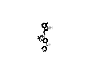 Cc1cccc2c(CCN3CC(C)(C)Oc4cc(Nc5ccncc5)ccc43)c[nH]c12